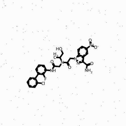 CC(CO)N(CC(=O)Nc1cccc(-c2ccccc2Cl)c1F)C(=O)Cn1nc(C(N)=O)c2cc([N+](=O)[O-])ccc21